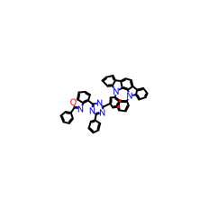 c1ccc(-c2nc(-c3cccc(-n4c5ccccc5c5ccc6c7ccccc7n(-c7ccccc7)c6c54)c3)nc(-c3cccc4oc(-c5ccccc5)nc34)n2)cc1